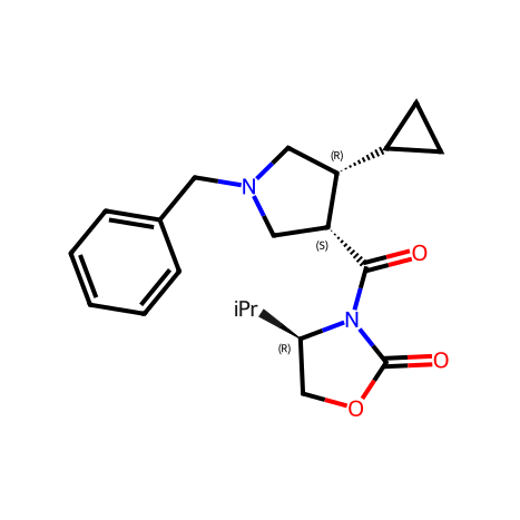 CC(C)[C@@H]1COC(=O)N1C(=O)[C@@H]1CN(Cc2ccccc2)C[C@@H]1C1CC1